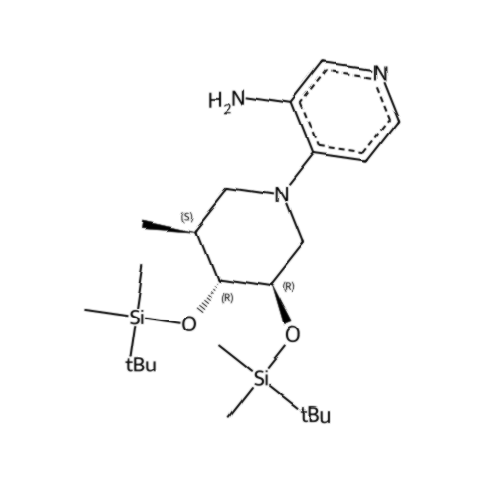 C[C@H]1CN(c2ccncc2N)C[C@@H](O[Si](C)(C)C(C)(C)C)[C@@H]1O[Si](C)(C)C(C)(C)C